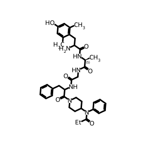 CCC(=O)N(c1ccccc1)C1CCN(C(=O)C(Cc2ccccc2)NC(=O)CNC(=O)[C@H](C)NC(=O)C(N)Cc2c(C)cc(O)cc2C)CC1